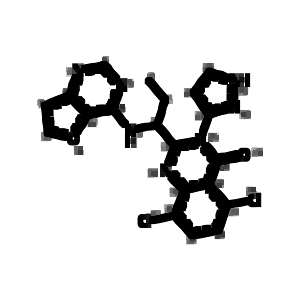 CCC(Nc1ncnc2ccoc12)c1nc2c(Cl)ccc(Cl)c2c(=O)n1-c1cc[nH]n1